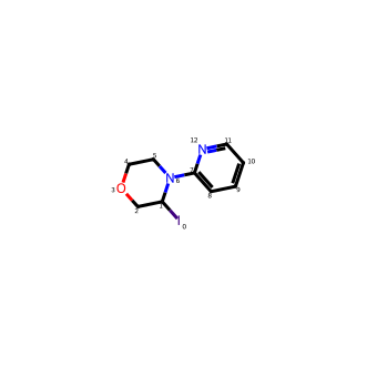 IC1COCCN1c1ccccn1